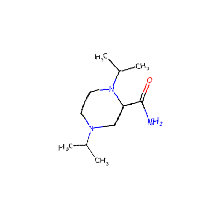 CC(C)N1CCN(C(C)C)C(C(N)=O)C1